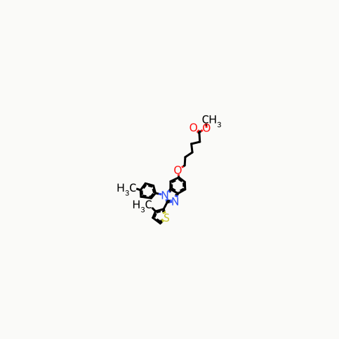 COC(=O)CCCCCOc1ccc2nc(-c3sccc3C)n(-c3ccc(C)cc3)c2c1